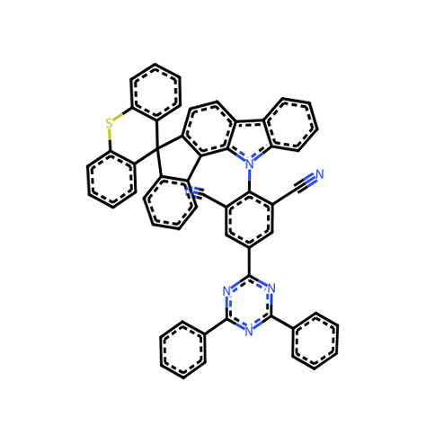 N#Cc1cc(-c2nc(-c3ccccc3)nc(-c3ccccc3)n2)cc(C#N)c1-n1c2ccccc2c2ccc3c(c21)-c1ccccc1C31c2ccccc2Sc2ccccc21